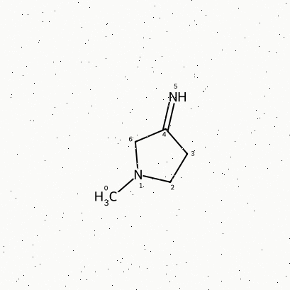 CN1CCC(=N)C1